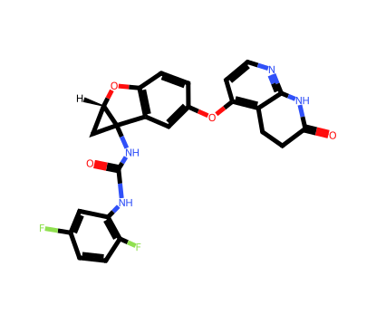 O=C1CCc2c(Oc3ccc4c(c3)C3(NC(=O)Nc5cc(F)ccc5F)C[C@@H]3O4)ccnc2N1